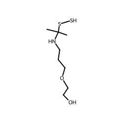 CC(C)(NCCCOCCO)SS